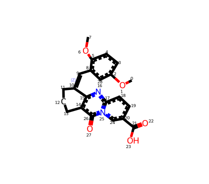 COc1ccc(OC)c(/C=C2/CCCc3c2nc2ccc(C(=O)O)cn2c3=O)c1